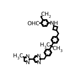 C=Cc1cc(NC2CC(Cc3ccc(C(C)(C)c4ccc(Cc5ncc(C6=NCC(C)=N6)cn5)cc4)cc3)C2)ccc1C=O